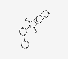 O=C1C2C3CC(C2C(=O)N1c1cccc(-c2ccccc2)c1)C1C2C=CC(C2)C31